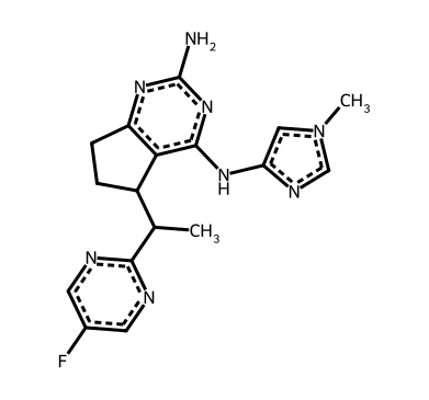 CC(c1ncc(F)cn1)C1CCc2nc(N)nc(Nc3cn(C)cn3)c21